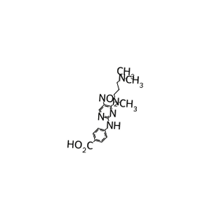 CN(C)CCCN(C)c1nc(Nc2ccc(C(=O)O)cc2)ncc1[N+](=O)[O-]